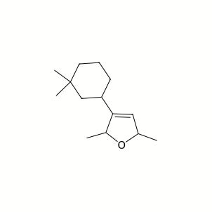 CC1C=C(C2CCCC(C)(C)C2)C(C)O1